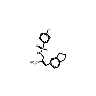 O=C(O)C(=Cc1ccc2c(c1)CCC2)CNS(=O)(=O)c1ccc(Cl)cc1